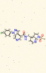 CS(=O)(=O)n1ccc2c(CNC(=O)c3cncc4c3cnn4-c3ccc(F)cc3)ccnc21